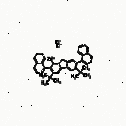 CC(C)(C)c1cc2c(cc1-c1cccc3ccccc13)Cc1c-2cc(C(C)(C)C)c(-c2cccc3ccccc23)[c]1[Zr+2].[Cl-].[Cl-]